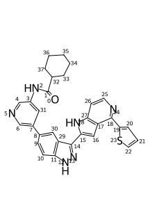 O=C(Nc1cncc(-c2ccc3[nH]nc(-c4cc5c(-c6cccs6)nccc5[nH]4)c3c2)c1)C1CCCCC1